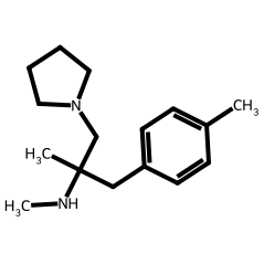 CNC(C)(Cc1ccc(C)cc1)CN1CCCC1